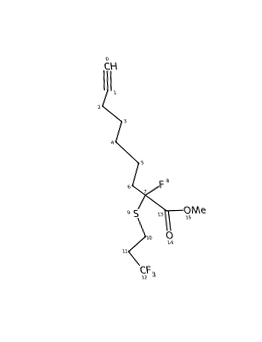 C#CCCCCCC(F)(SCCC(F)(F)F)C(=O)OC